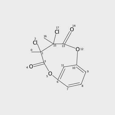 CC1(Cl)C(=O)Oc2cccc(c2)OC(=O)C1(C)Cl